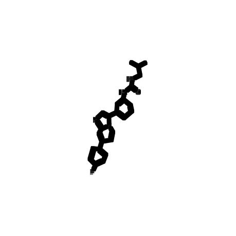 CC(C)CNC(=O)Nc1cccc(-c2cnc3cc(-c4ccc(F)cc4)ccn23)c1